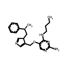 CCCCNc1nc(N)ncc1OCC1=CN=CC1C[C@H](C)c1ccccc1